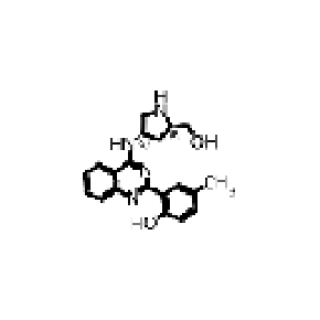 Cc1ccc(O)c(-c2nc(N[C@@H]3CN[C@@H](CO)C3)c3ccccc3n2)c1